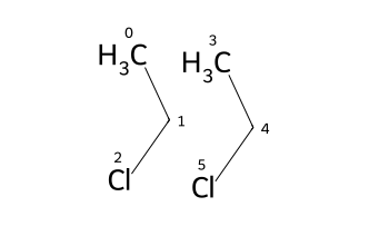 CCCl.CCCl